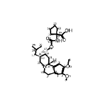 COc1cc2c(cc1OC)[C@H]1C[C@@H](COC(=O)NC3(C(=O)O)CCCC3)[C@H](CC(C)C)CN1CC2